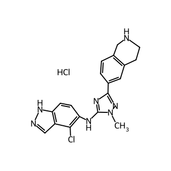 Cl.Cn1nc(-c2ccc3c(c2)CCNC3)nc1Nc1ccc2[nH]ncc2c1Cl